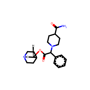 NC(=O)C1CCN(C(C(=O)O[C@H]2CN3CCC2CC3)c2ccccc2)CC1